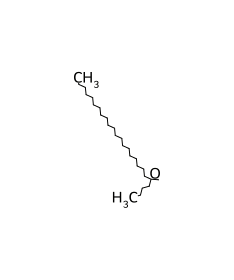 CCCCCCCCCCCCCCCCCCCCC1(CCCC)CO1